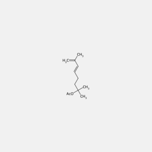 C=C(C)/C=C/CCC(C)(C)OC(C)=O